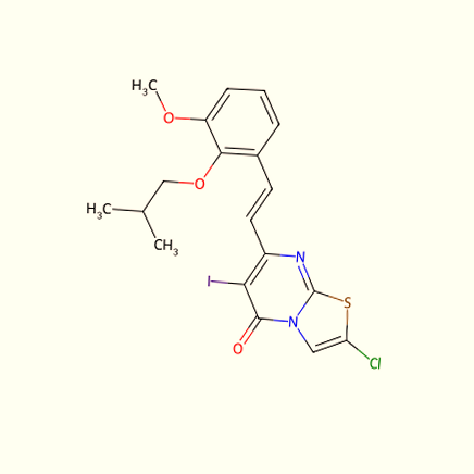 COc1cccc(C=Cc2nc3sc(Cl)cn3c(=O)c2I)c1OCC(C)C